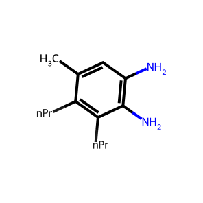 CCCc1c(C)cc(N)c(N)c1CCC